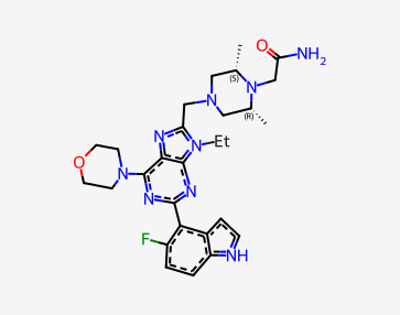 CCn1c(CN2C[C@@H](C)N(CC(N)=O)[C@@H](C)C2)nc2c(N3CCOCC3)nc(-c3c(F)ccc4[nH]ccc34)nc21